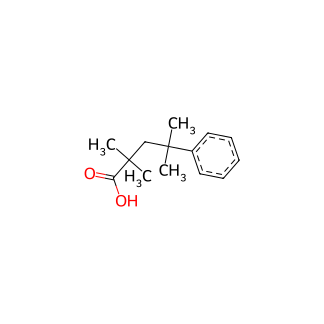 CC(C)(CC(C)(C)c1ccccc1)C(=O)O